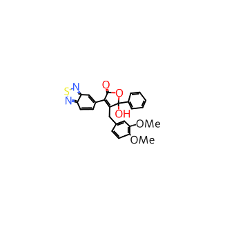 COc1ccc(CC2=C(c3ccc4nsnc4c3)C(=O)OC2(O)c2ccccc2)cc1OC